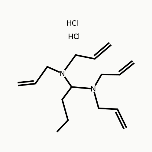 C=CCN(CC=C)C(CCC)N(CC=C)CC=C.Cl.Cl